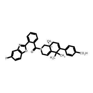 CC1(C)C(c2ccc(C(=O)O)cc2)=CC[C@]2(C)CN(C(=O)c3ccccc3-c3nc4cc(F)ccc4o3)CC=C12